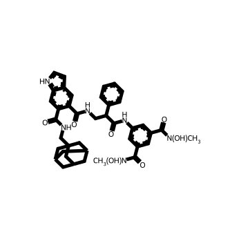 CN(O)C(=O)c1cc(NC(=O)C(CNC(=O)c2cc3cc[nH]c3cc2C(=O)NCC23CC4CC(CC(C4)C2)C3)c2ccccc2)cc(C(=O)N(C)O)c1